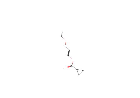 CCOCC=COC(=O)C1CC1